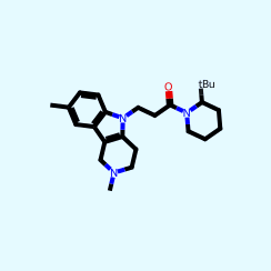 Cc1ccc2c(c1)c1c(n2CCC(=O)N2CCCCC2C(C)(C)C)CCN(C)C1